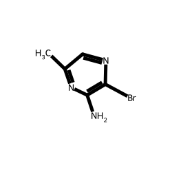 Cc1cnc(Br)c(N)n1